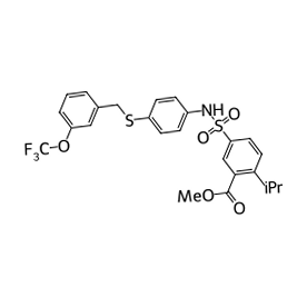 COC(=O)c1cc(S(=O)(=O)Nc2ccc(SCc3cccc(OC(F)(F)F)c3)cc2)ccc1C(C)C